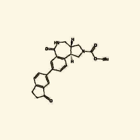 CC(C)(C)OC(=O)N1C[C@H]2CNC(=O)c3cc(-c4ccc5c(c4)C(=O)CC5)ccc3[C@@H]2C1